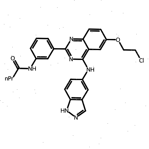 CCCC(=O)Nc1cccc(-c2nc(Nc3ccc4[nH]ncc4c3)c3cc(OCCCl)ccc3n2)c1